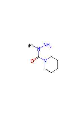 CC(C)N(N)C(=O)N1CCCCC1